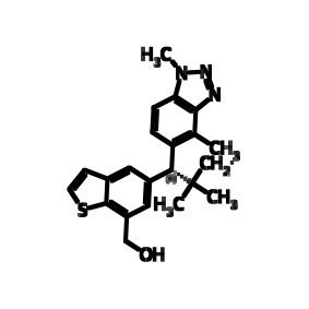 [CH2]C(C)(C)[C@H](c1cc(CO)c2sccc2c1)c1ccc2c(nnn2C)c1C